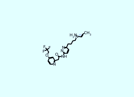 C/C=C/N(N)CCCCc1ccc(NC(=O)Cc2cc(OCC(F)(F)F)ccn2)nn1